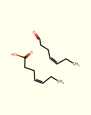 CC/C=C\CCC(=O)O.CC/C=C\CCC=O